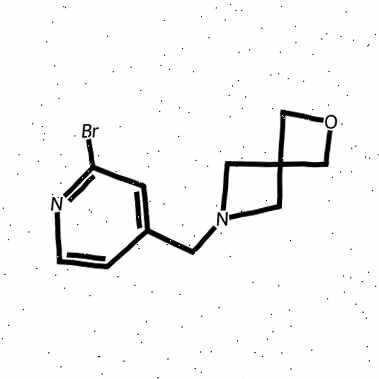 Brc1cc(CN2CC3(COC3)C2)ccn1